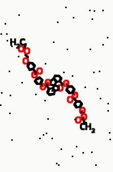 C=CC(=O)OCCOc1ccc(C(=O)Oc2ccc(OC(=O)c3cccc4c3C3(CC4)CCc4cccc(C(=O)Oc5ccc(OC(=O)c6ccc(OCOC(=O)C=C)cc6)cc5)c43)cc2)cc1